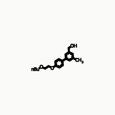 CCCCOCCOc1ccc(-c2cc(C)cc(CO)c2)cc1